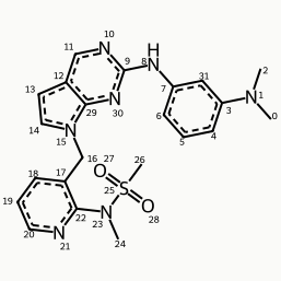 CN(C)c1cccc(Nc2ncc3ccn(Cc4cccnc4N(C)S(C)(=O)=O)c3n2)c1